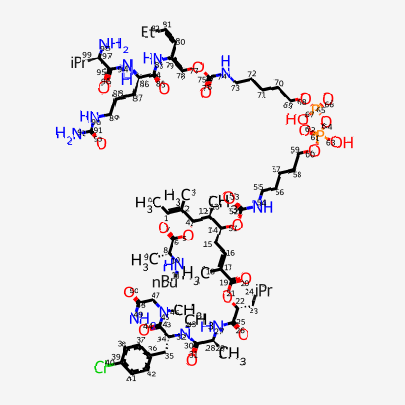 C/C=C(\C)[C@@H](OC(=O)[C@@H](C)NCCCC)[C@@H](C)[C@H](C/C=C(\C)C(=O)O[C@H](CC(C)C)C(=O)N[C@@H](C)C(=O)N(C)[C@H](Cc1ccc(Cl)cc1)C(=O)N(C)CC(N)=O)OC(=O)NCCCCCOP(=O)(O)OP(=O)(O)OCCCCCNC(=O)O/C=C(\C=C/CC)NC(=O)[C@@H](CCCNC(N)=O)NC(=O)[C@H](N)C(C)C